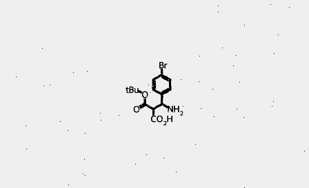 CC(C)(C)OC(=O)C(C(=O)O)C(N)c1ccc(Br)cc1